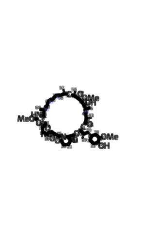 COC(=O)N[C@H]1C[C@@H]2CC[C@@H](C)C(O)(O2)C(=O)C(=O)N2CCCC[C@H]2C(=O)O[C@H]([C@H](C)C[C@@H]2CC[C@@H](O)[C@H](OC)C2)CC(=O)[C@H](C)/C=C(\C)[C@@H](O)[C@@H](OC)C(=O)[C@H](C)C[C@H](C)/C=C/C=C/C=C/1C